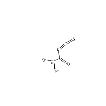 CC(C)[C@@H](Br)C(=O)N=C=S